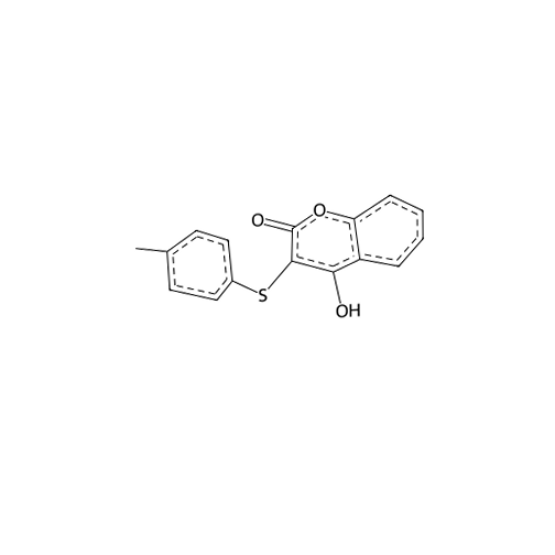 Cc1ccc(Sc2c(O)c3ccccc3oc2=O)cc1